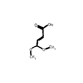 COC(C=CC(=O)O)OC